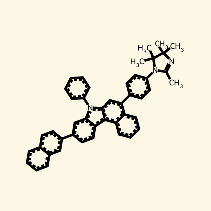 CC1=NC(C)(C)C(C)(C)N1c1ccc(-c2cc3c(c4ccccc24)c2ccc(-c4ccc5ccccc5c4)cc2n3-c2ccccc2)cc1